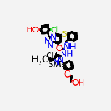 CSC(C)(C)c1cc(NC(=O)NCc2ccccc2Sc2ccc3nnc(-c4cc(O)ccc4Cl)n3c2)n(-c2cccc(OCCO)c2)n1